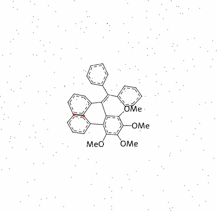 COc1c(OC)c(OC)c(-c2ccccc2)c(C(=C(c2ccccc2)c2ccccc2)c2ccccc2)c1OC